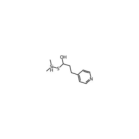 C[SiH](C)SC(O)CCc1ccncc1